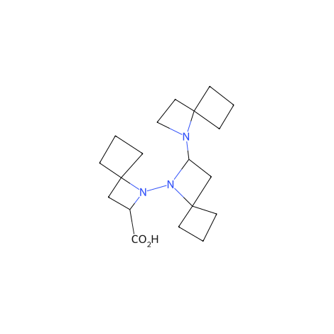 O=C(O)C1CC2(CCC2)N1N1C(N2CCC23CCC3)CC12CCC2